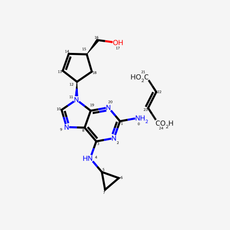 Nc1nc(NC2CC2)c2ncn([C@H]3C=C[C@@H](CO)C3)c2n1.O=C(O)/C=C/C(=O)O